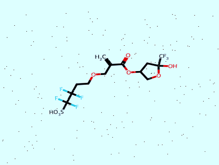 C=C(COCCC(F)(F)C(F)(F)S(=O)(=O)O)C(=O)OC1COC(O)(C(F)(F)F)C1